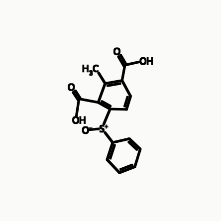 Cc1c(C(=O)O)ccc([S+]([O-])c2ccccc2)c1C(=O)O